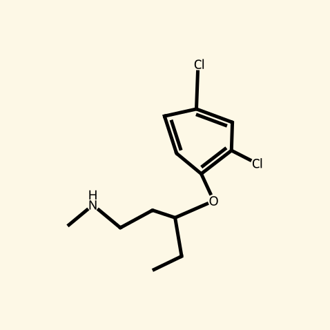 CCC(CCNC)Oc1ccc(Cl)cc1Cl